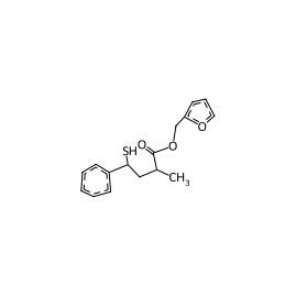 CC(CC(S)c1ccccc1)C(=O)OCc1ccco1